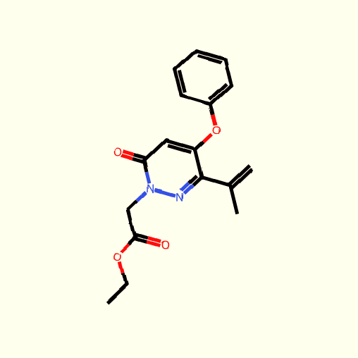 C=C(C)c1nn(CC(=O)OCC)c(=O)cc1Oc1ccccc1